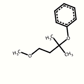 COCCC(C)(C)Oc1ccccc1